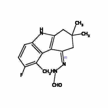 Cc1c(F)ccc2[nH]c3c(c12)/C(=N\NC=O)CC(C)(C)C3